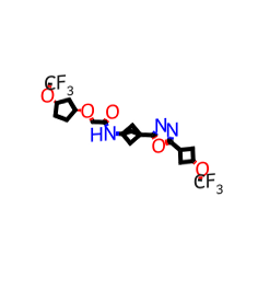 O=C(CO[C@H]1CC[C@@H](OC(F)(F)F)C1)NC12CC(c3nnc(C4CC(OC(F)(F)F)C4)o3)(C1)C2